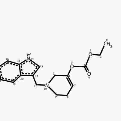 CCOC(=O)OC1=CCCN(Cc2c[nH]c3ccccc23)C1